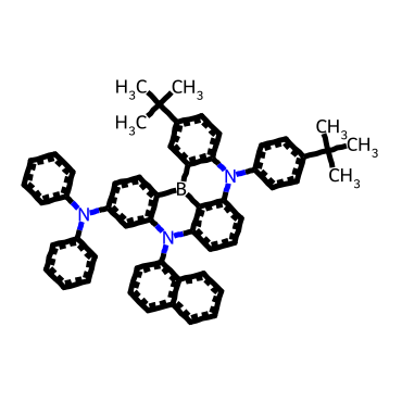 CC(C)(C)c1ccc(N2c3ccc(C(C)(C)C)cc3B3c4ccc(N(c5ccccc5)c5ccccc5)cc4N(c4cccc5ccccc45)c4cccc2c43)cc1